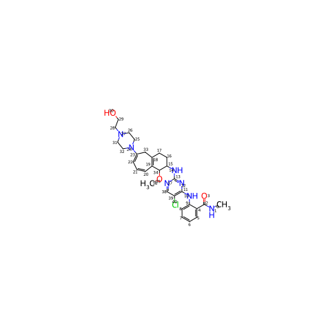 CNC(=O)c1ccccc1Nc1nc(NC2CCC3=C(C=CC=C(N4CCN(CCO)CC4)C3)C2OC)ncc1Cl